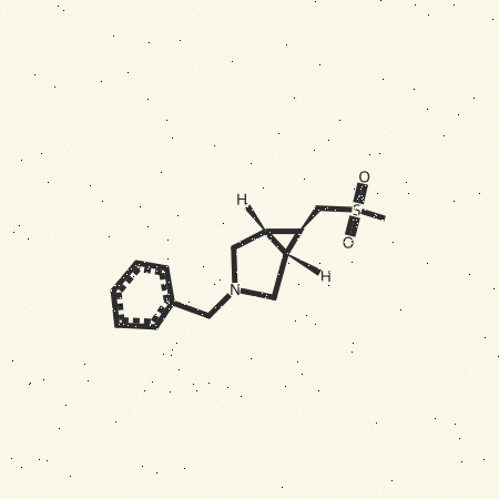 CS(=O)(=O)C[C@H]1[C@@H]2CN(Cc3ccccc3)C[C@@H]21